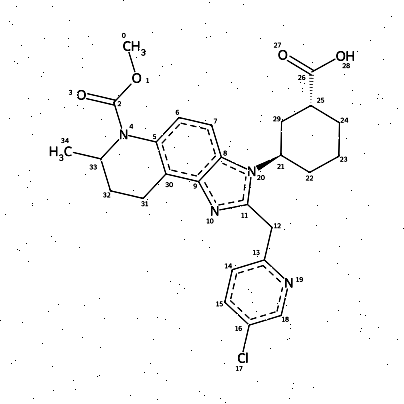 COC(=O)N1c2ccc3c(nc(Cc4ccc(Cl)cn4)n3[C@@H]3CCC[C@@H](C(=O)O)C3)c2CCC1C